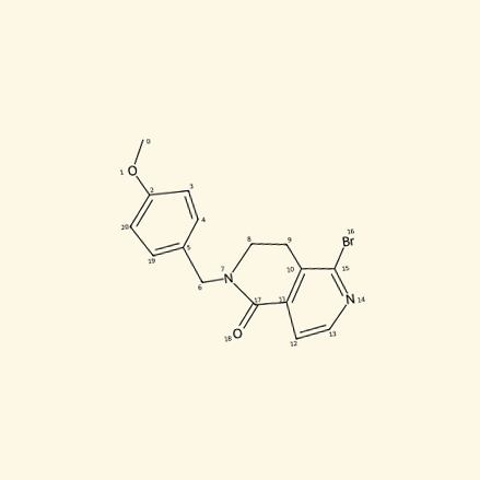 COc1ccc(CN2CCc3c(ccnc3Br)C2=O)cc1